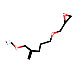 C=C(CCCOCC1CO1)CO[SiH3]